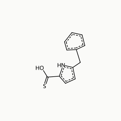 OC(=S)c1ccc(Cc2ccccc2)[nH]1